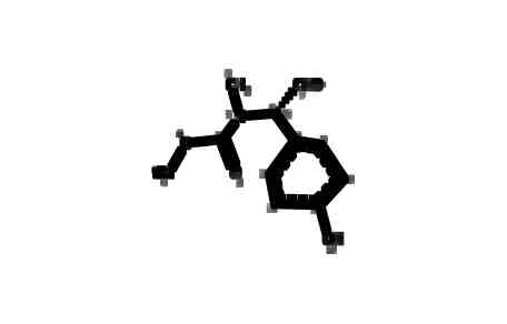 CN(C(=O)OC(C)(C)C)[C@H]([C]=O)c1ccc(O)cc1